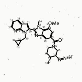 COc1cc(C(=O)N2CCC(F)C(N=[N+]=[N-])C2)cc2nc(-c3cc4cccnc4n3CC3CC3)n(C)c12